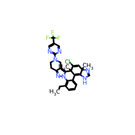 CCc1cccc2c1-n1nc3c(c1C1(C)C(Cl)=CC4(C)N=CNC4=C21)CN(c1ncc(C(F)(F)F)cn1)CC3